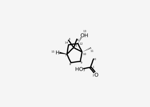 CC(=O)O.CC1(C)[C@@H]2CC[C@]1(C)[C@@H](O)C2